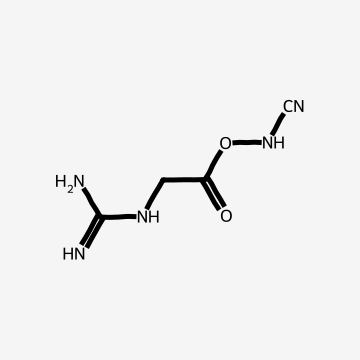 N#CNOC(=O)CNC(=N)N